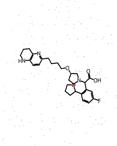 O=C(O)C(c1cc(F)ccc1C1CCCO1)N1CC[C@@H](OCCCCc2ccc3c(n2)CCCN3)C1